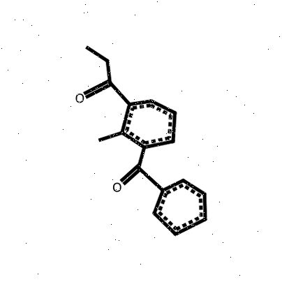 CCC(=O)c1cccc(C(=O)c2ccccc2)c1C